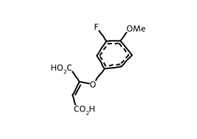 COc1ccc(O/C(=C\C(=O)O)C(=O)O)cc1F